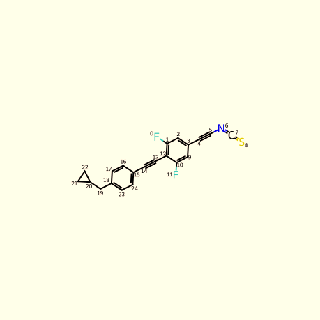 Fc1cc(C#CN=C=S)cc(F)c1C#Cc1ccc(CC2CC2)cc1